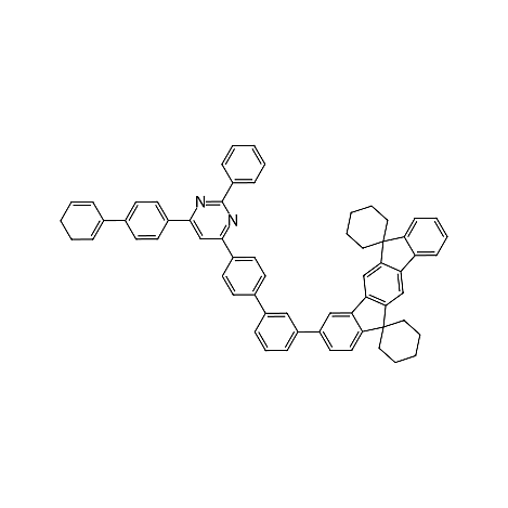 C1=CC(c2ccc(-c3cc(-c4ccc(-c5cccc(-c6ccc7c(c6)-c6cc8c(cc6C76CCCCC6)-c6ccccc6C86CCCCC6)c5)cc4)nc(-c4ccccc4)n3)cc2)=CCC1